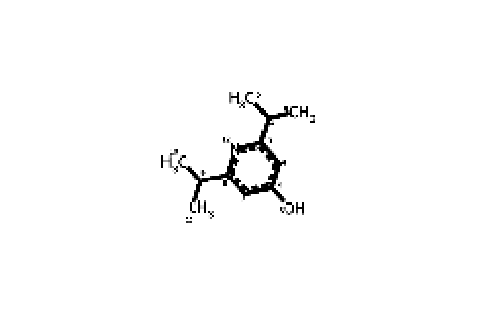 CC(C)c1cc(O)cc(C(C)C)n1